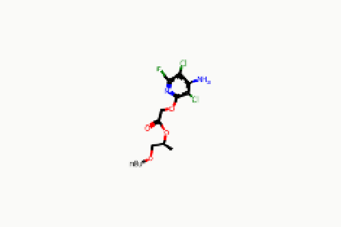 CCCCOCC(C)OC(=O)COc1nc(F)c(Cl)c(N)c1Cl